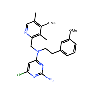 COc1cccc(CCN(Cc2ncc(C)c(OC)c2C)c2cc(Cl)nc(N)n2)c1